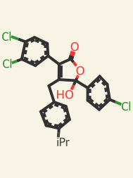 CC(C)c1ccc(CC2=C(c3ccc(Cl)c(Cl)c3)C(=O)OC2(O)c2ccc(Cl)cc2)cc1